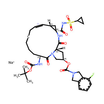 CC(C)(C)OC(=O)N[C@H]1CCCCC/C=C\[C@@H]2C[C@@]2(C(=O)[N-]S(=O)(=O)C2CC2)NC(=O)[C@@H]2C[C@@H](OC(=O)N3Cc4cccc(F)c4C3)CN2C1=O.[Na+]